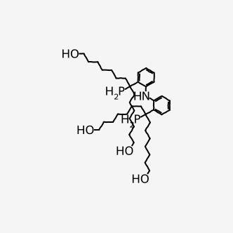 OCCCCCCCC(P)(CCCCCCCO)c1ccccc1Nc1ccccc1C(P)(CCCCCCCO)CCCCCCCO